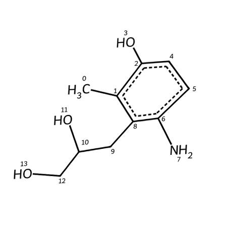 Cc1c(O)ccc(N)c1CC(O)CO